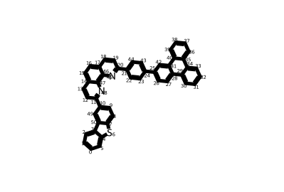 c1ccc2c(c1)sc1ccc(-c3ccc4ccc5ccc(-c6ccc(-c7ccc8c9ccccc9c9ccccc9c8c7)cc6)nc5c4n3)cc12